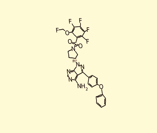 Nc1ncnc2c1c(-c1ccc(Oc3ccccc3)cc1)nn2[C@@H]1CCN(S(=O)(=O)c2c(F)c(F)c(F)c(F)c2OCF)C1